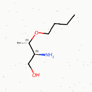 CCCCO[C@@H](C)[C@@H](N)CO